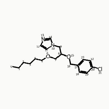 CCCCCCOCC(Cn1ccnc1)OCc1ccc(Cl)cc1